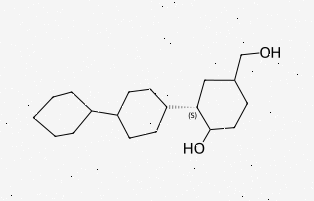 OCC1CCC(O)[C@H](C2CCC(C3CCCCC3)CC2)C1